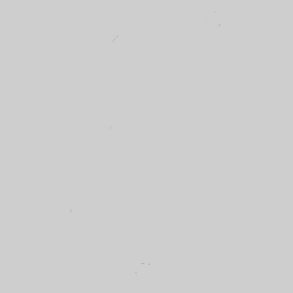 OC(CCCCCCCC/C=C\CCCCCCCCc1ccccc1)CCCCCCCC/C=C\CCCCCCCCc1ccccc1